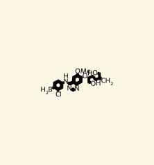 Bc1ccc(Nc2ncnc3cc(O[C@H]4CO[C@@H]5C(=C)CO[C@H]45)c(OC)cc23)cc1Cl